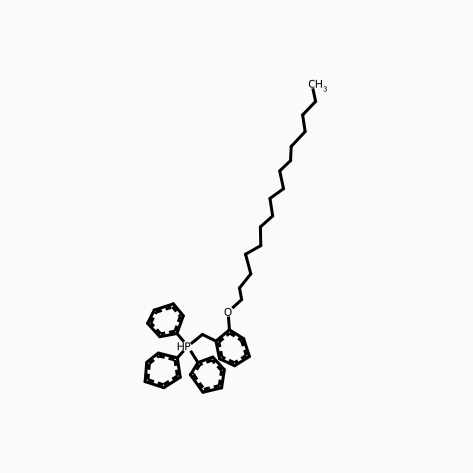 CCCCCCCCCCCCCCCCOc1ccccc1C[PH](c1ccccc1)(c1ccccc1)c1ccccc1